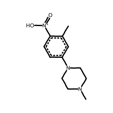 Cc1cc(N2CCN(C)CC2)ccc1[N+](=O)O